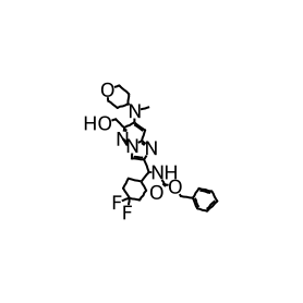 CN(c1cc2nc([C@@H](NC(=O)OCc3ccccc3)C3CCC(F)(F)CC3)cn2nc1CO)C1CCOCC1